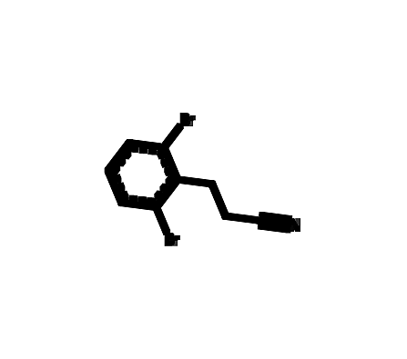 N#CCCc1c(Br)cccc1Br